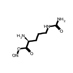 NC(=O)NCCC[C@H](N)C(=O)ON=O